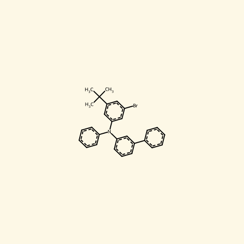 CC(C)(C)c1cc(Br)cc(N(c2ccccc2)c2cccc(-c3ccccc3)c2)c1